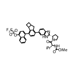 COC(=O)N[C@H](C(=O)N1CCC[C@H]1c1nc2ccc(-c3ccc(-c4ccc(OS(=O)(=O)C(F)(F)F)c5ccccc45)c4c3CC3CCC43)cc2[nH]1)C(C)C